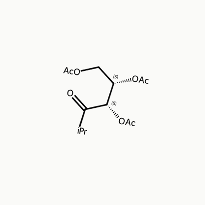 CC(=O)OC[C@H](OC(C)=O)[C@H](OC(C)=O)C(=O)C(C)C